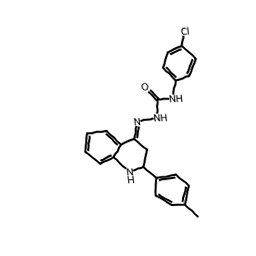 Cc1ccc(C2CC(=NNC(=O)Nc3ccc(Cl)cc3)c3ccccc3N2)cc1